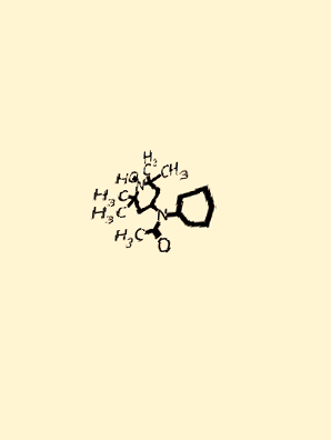 CC(=O)N(C1CCCCC1)C1CC(C)(C)N(O)C(C)(C)C1